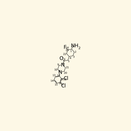 NC1CCC(CC(=O)N2CCN(c3cccc(Cl)c3Cl)CC2)CC1F